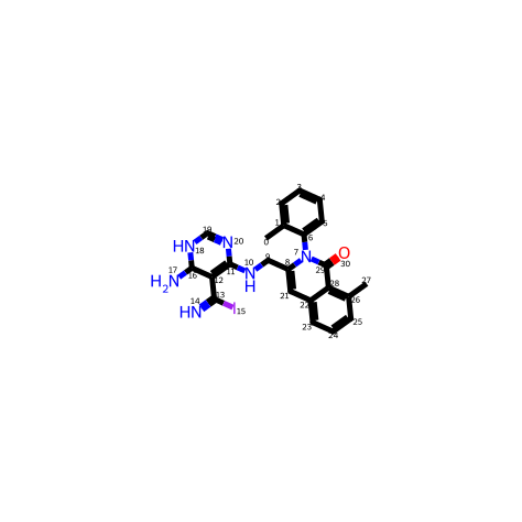 Cc1ccccc1-n1c(CNC2=C(C(=N)I)C(N)NC=N2)cc2cccc(C)c2c1=O